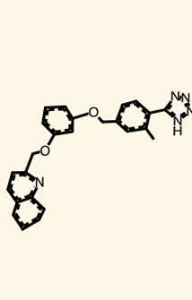 Cc1cc(COc2cccc(OCc3ccc4ccccc4n3)c2)ccc1-c1nnn[nH]1